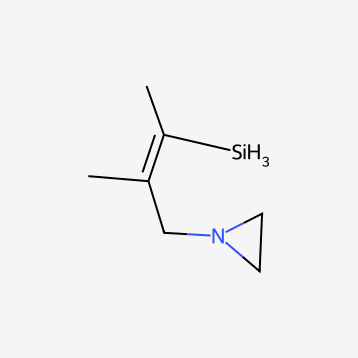 CC([SiH3])=C(C)CN1CC1